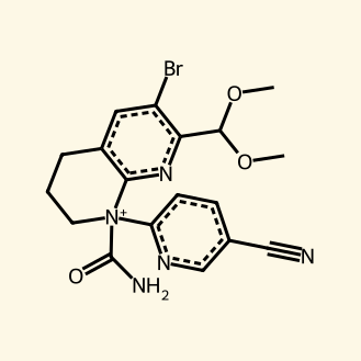 COC(OC)c1nc2c(cc1Br)CCC[N+]2(C(N)=O)c1ccc(C#N)cn1